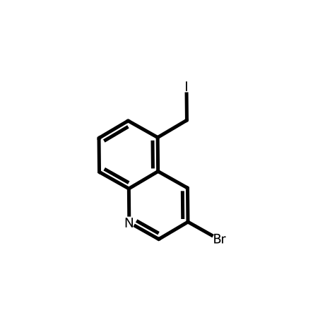 Brc1cnc2cccc(CI)c2c1